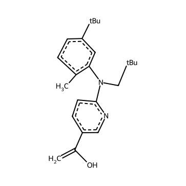 C=C(O)c1ccc(N(CC(C)(C)C)c2cc(C(C)(C)C)ccc2C)nc1